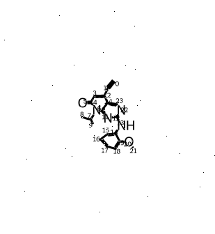 C#Cc1cc(=O)n(C(C)C)c2nc(Nc3ccccc3OC)ncc12